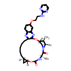 CC(=O)[C@@H]1[C@H](C)[C@@H]2CN1C(=O)[C@H](C(C)(C)C)NC(=O)O[C@@H]1C[C@H]1CCCCCc1nc3ccc(OCCNc4ncccn4)cc3nc1O2